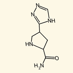 NC(=O)C1CC(c2nnc[nH]2)CN1